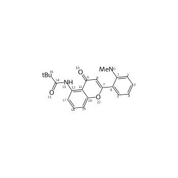 CNc1ccccc1-c1cc(=O)c2c(NC(=O)C(C)(C)C)cccc2o1